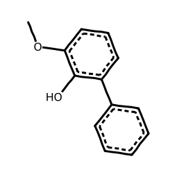 COc1cccc(-c2ccccc2)c1O